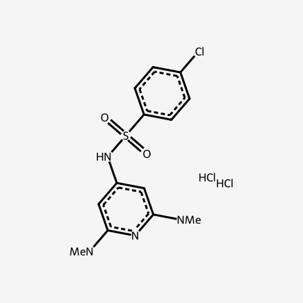 CNc1cc(NS(=O)(=O)c2ccc(Cl)cc2)cc(NC)n1.Cl.Cl